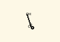 O=C(OCCCCCCCCCO)c1ccccc1